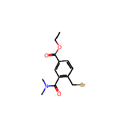 CCOC(=O)c1ccc(CBr)c(C(=O)N(C)C)c1